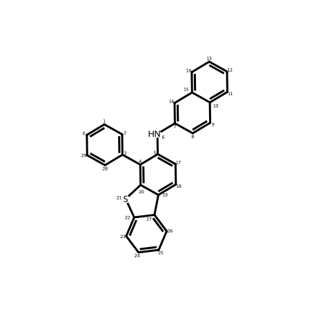 c1ccc(-c2c(Nc3ccc4ccccc4c3)ccc3c2sc2ccccc23)cc1